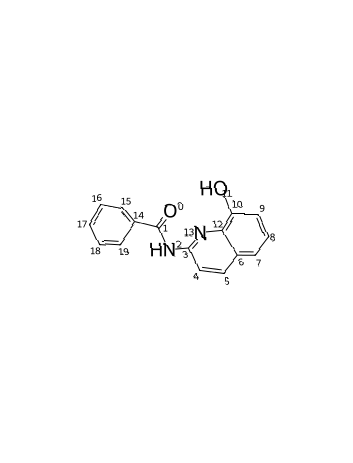 O=C(Nc1ccc2cccc(O)c2n1)c1ccccc1